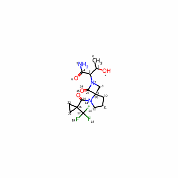 CC(O)C(C(N)=O)N1C[C@]2(CCCN2C(=O)C2(C(F)(F)F)CC2)C1=O